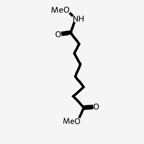 CONC(=O)CCCCCCC(=O)OC